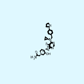 NC(=O)CN1CC[C@H](CNc2ncnc(N(Cc3ccc(-n4cccn4)cc3)C3CC3)c2F)[C@@H](O)C1